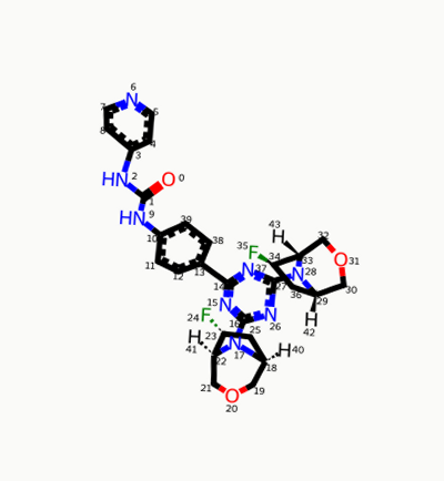 O=C(Nc1ccncc1)Nc1ccc(-c2nc(N3[C@@H]4COC[C@H]3[C@H](F)C4)nc(N3[C@@H]4COC[C@H]3[C@H](F)C4)n2)cc1